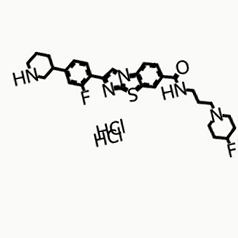 Cl.Cl.O=C(NCCCN1CCC(F)CC1)c1ccc2c(c1)sc1nc(-c3ccc(C4CCCNC4)cc3F)cn12